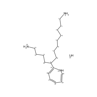 NCCCCCCCCC(CCCCN)C1=CC=CC=CN1.[LiH]